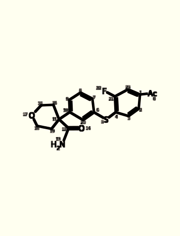 CC(=O)c1ccc(Sc2cccc(C3(C(N)=O)CCOCC3)c2)c(F)c1